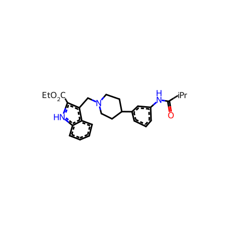 CCOC(=O)c1[nH]c2ccccc2c1CN1CCC(c2cccc(NC(=O)C(C)C)c2)CC1